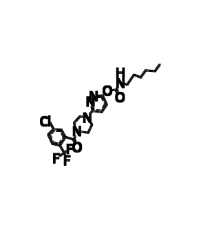 CCCCCCNC(=O)Oc1ccc(N2CCN(C(=O)c3cc(Cl)ccc3C(F)(F)F)CC2)nn1